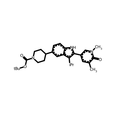 Cc1cc(-c2[nH]c3ccc(C4CCN(C(=O)OC(C)(C)C)CC4)cc3c2C(C)C)cn(C)c1=O